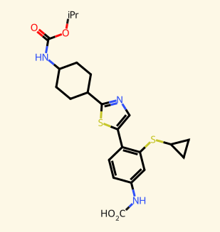 CC(C)OC(=O)NC1CCC(c2ncc(-c3ccc(NC(=O)O)cc3SC3CC3)s2)CC1